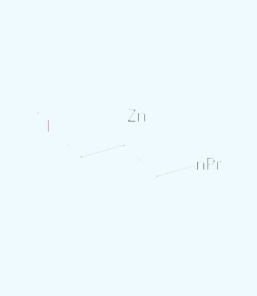 CCCCCCI.[Zn]